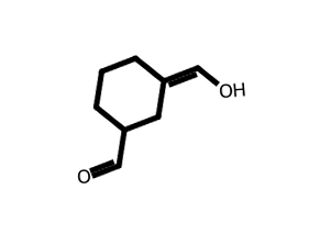 O=CC1CCCC(=CO)C1